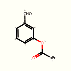 CC[CH]C(=O)Oc1cccc(C=O)c1